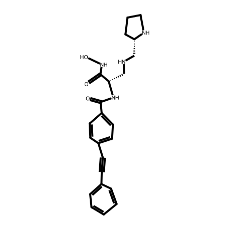 O=C(N[C@@H](CNC[C@@H]1CCCN1)C(=O)NO)c1ccc(C#Cc2ccccc2)cc1